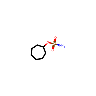 NS(=O)(=O)OC1CCCCCC1